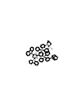 CC1CC=C2CC2N1c1cccc(S(c2ccccc2)(c2ccccc2)c2cc(-c3nc(-n4c5ccccc5c5ccccc54)nc(-n4c5ccccc5c5ccccc54)n3)cc(S(c3ccccc3)(c3ccccc3)c3cccc(N4C5CC6CC(C5)CC4C6)c3)c2)c1